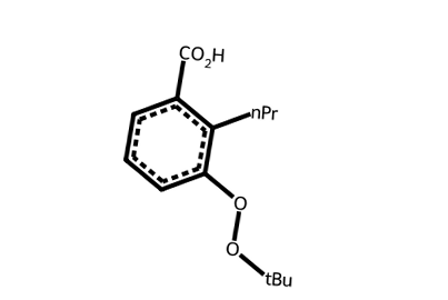 CCCc1c(OOC(C)(C)C)cccc1C(=O)O